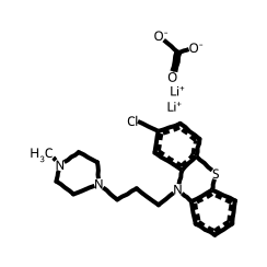 CN1CCN(CCCN2c3ccccc3Sc3ccc(Cl)cc32)CC1.O=C([O-])[O-].[Li+].[Li+]